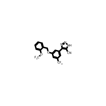 N#Cc1[nH]nnc1-c1cc(OCc2ccccc2OC(F)(F)F)cc(C(F)(F)F)c1